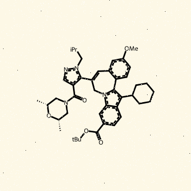 COc1ccc2c(c1)C=C(c1c(C(=O)N3C[C@@H](C)O[C@@H](C)C3)cnn1CC(C)C)Cn1c-2c(C2CCCCC2)c2ccc(C(=O)OC(C)(C)C)cc21